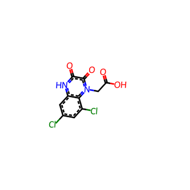 O=C(O)Cn1c(=O)c(=O)[nH]c2cc(Cl)cc(Cl)c21